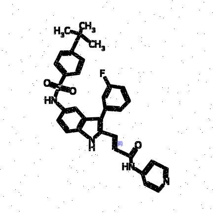 CC(C)(C)c1ccc(S(=O)(=O)Nc2ccc3[nH]c(/C=C/C(=O)Nc4ccncc4)c(-c4cccc(F)c4)c3c2)cc1